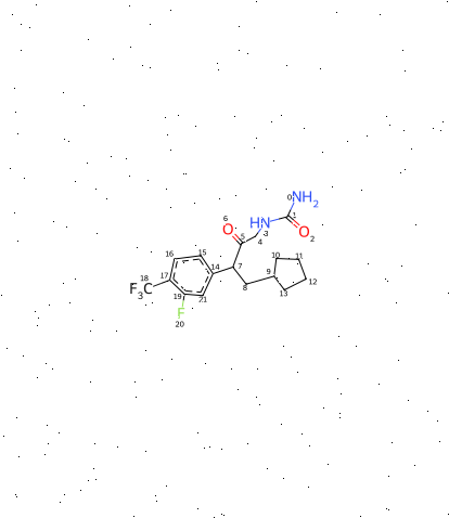 NC(=O)NCC(=O)C(CC1CCCC1)c1ccc(C(F)(F)F)c(F)c1